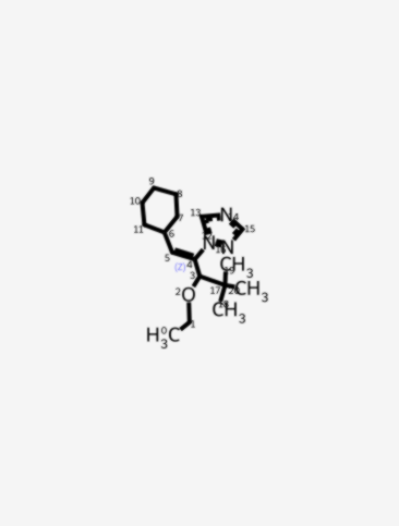 CCOC(/C(=C/C1CCCCC1)n1cncn1)C(C)(C)C